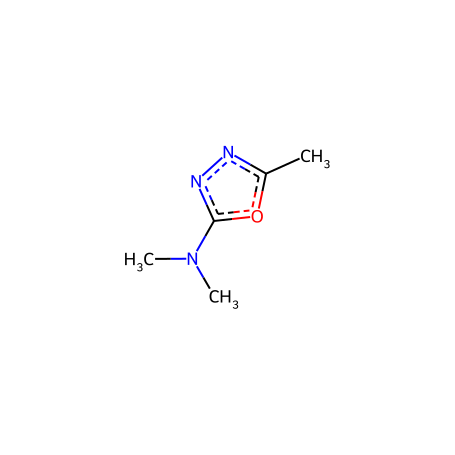 Cc1nnc(N(C)C)o1